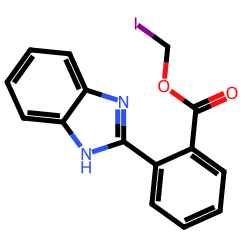 O=C(OCI)c1ccccc1-c1nc2ccccc2[nH]1